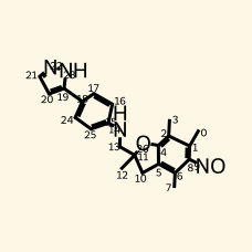 Cc1c(C)c2c(c(C)c1N=O)CC(C)(CNc1ccc(-c3ccn[nH]3)cc1)O2